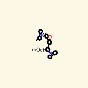 CCCCCCCCc1cc(-c2ccc3oc4ccc(-n5c6ccccc6c6cc(C)ccc65)cc4c3c2)cc(-n2c3ccccc3c3ccccc32)c1